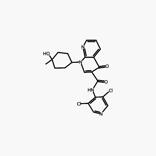 CC1(O)CCC(n2cc(C(=O)Nc3c(Cl)cncc3Cl)c(=O)c3cccnc32)CC1